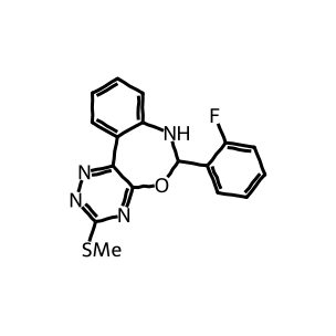 CSc1nnc2c(n1)OC(c1ccccc1F)Nc1ccccc1-2